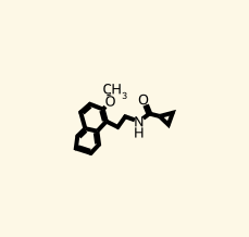 COc1ccc2ccccc2c1CCNC(=O)C1CC1